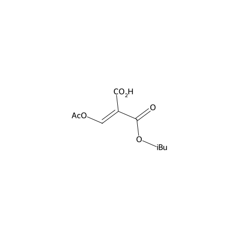 CCC(C)OC(=O)C(=COC(C)=O)C(=O)O